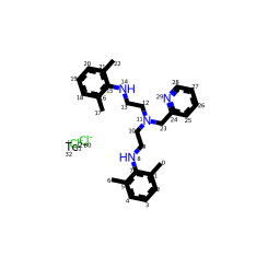 Cc1cccc(C)c1NCCN(CCNc1c(C)cccc1C)Cc1ccccn1.[Cl-].[Cl-].[Tc+2]